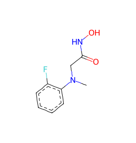 CN(CC(=O)NO)c1ccccc1F